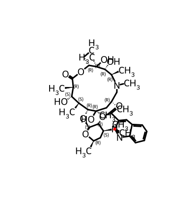 CC[C@H]1OC(=O)[C@H](C)[C@@H](O)[C@H](C)[C@@H](O[C@@H]2O[C@H](C)C[C@H](N(C)C)[C@H]2OC(=O)c2cnc3ccccc3c2)[C@](C)(O)C[C@@H](C)CN(C)[C@H](C)[C@@H](O)[C@]1(C)O